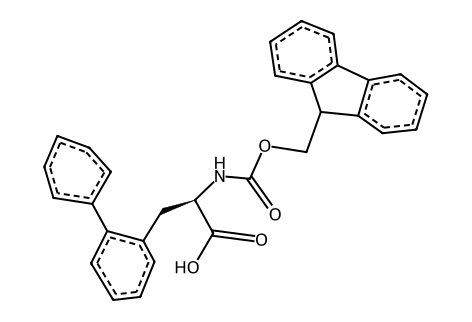 O=C(N[C@H](Cc1ccccc1-c1ccccc1)C(=O)O)OCC1c2ccccc2-c2ccccc21